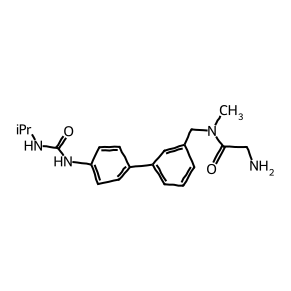 CC(C)NC(=O)Nc1ccc(-c2cccc(CN(C)C(=O)CN)c2)cc1